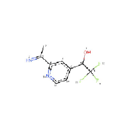 CC(=N)c1cc(C(O)C(F)(F)F)ccn1